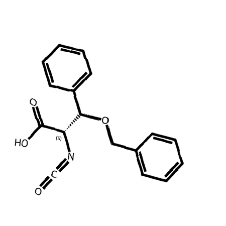 O=C=N[C@H](C(=O)O)C(OCc1ccccc1)c1ccccc1